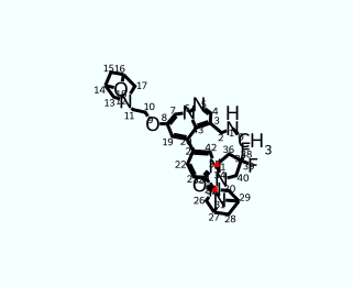 CNCc1cnn2cc(OCCN3CC4CC(C3)O4)cc(-c3ccc(N4CC5CC(C4)N5C(=O)N4CCC(F)(F)C4)nc3)c12